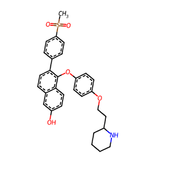 CS(=O)(=O)c1ccc(-c2ccc3cc(O)ccc3c2Oc2ccc(OCCC3CCCCN3)cc2)cc1